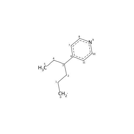 [CH2]CCC(CC)c1ccncc1